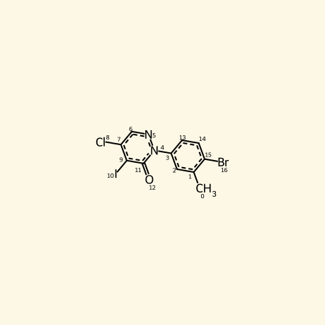 Cc1cc(-n2ncc(Cl)c(I)c2=O)ccc1Br